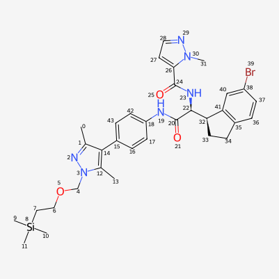 Cc1nn(COCC[Si](C)(C)C)c(C)c1-c1ccc(NC(=O)[C@@H](NC(=O)c2ccnn2C)[C@@H]2CCc3ccc(Br)cc32)cc1